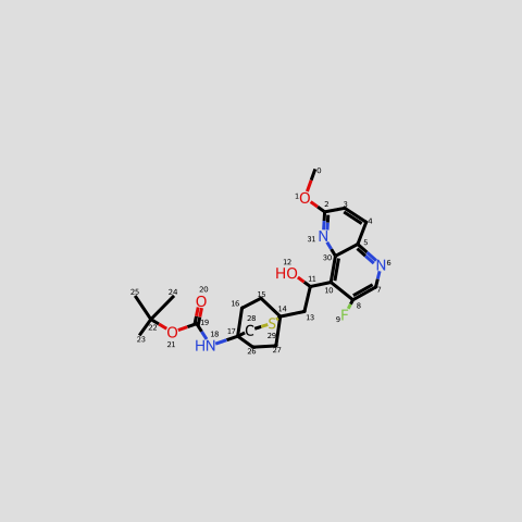 COc1ccc2ncc(F)c(C(O)CC34CCC(NC(=O)OC(C)(C)C)(CC3)CS4)c2n1